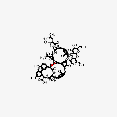 CN[C@H](CC(C)C)C(=O)N[C@H]1C(=O)N[C@@H](CC(N)=O)C(=O)N[C@H]2C(=O)N[C@H]3C(=O)N[C@H](C(=O)N[C@@H](C(=O)O)c4cc(O)cc(O)c4-c4cc3ccc4O)[C@H](O)c3ccc(c(Cl)c3)Oc3cc2cc(c3O[C@@H]2O[C@H](CO)[C@@H](O[C@@H]3O[C@H](CO)[C@H](O)[C@H](O)[C@H]3O)[C@H](O)[C@H]2O)Oc2ccc(cc2Cl)[C@H]1O